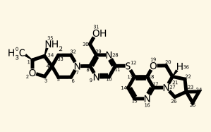 C[C@@H]1OCC2(CCN(c3ncc(Sc4ccnc5c4OC[C@@H]4CC6(CC6)CN54)nc3CO)CC2)[C@@H]1N